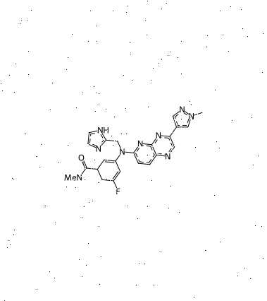 CNC(=O)C1C=C(N(Cc2ncc[nH]2)c2ccc3ncc(-c4cnn(C)c4)nc3n2)C=C(F)C1